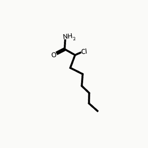 CCCCCCC(Cl)C(N)=O